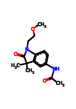 COCCN1C(=O)C(C)(C)c2cc(NC(C)=O)ccc21